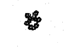 Cc1ccc(-c2cccc3c2C=[C]([Zr][C]2=Cc4c(-c5ccc(C)cc5)cccc4C2c2ccccn2)C3c2ccccn2)cc1